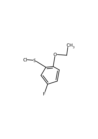 CCOc1ccc(F)cc1SCl